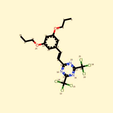 CCCOc1cc(C=Cc2nc(C(Cl)(Cl)Cl)nc(C(Cl)(Cl)Cl)n2)cc(OCCC)c1